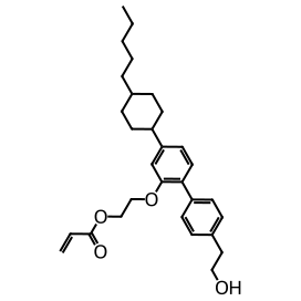 C=CC(=O)OCCOc1cc(C2CCC(CCCCC)CC2)ccc1-c1ccc(CCO)cc1